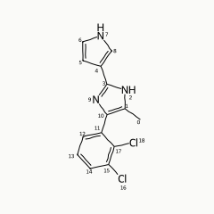 Cc1[nH]c(-c2cc[nH]c2)nc1-c1cccc(Cl)c1Cl